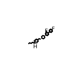 CCCCC[SiH]1CCC(CC[C@H]2CC[C@H](c3ccc(-c4ccc(F)cc4)c(F)c3)CC2)CC1